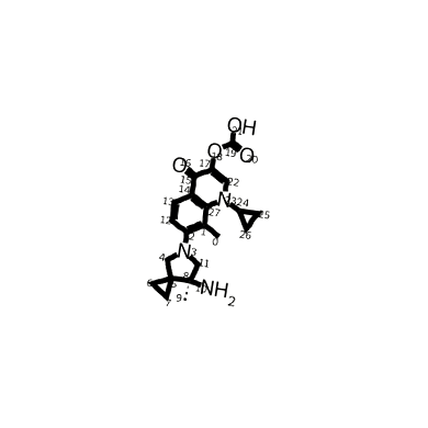 Cc1c(N2CC3(CC3)[C@](C)(N)C2)ccc2c(=O)c(OC(=O)O)cn(C3CC3)c12